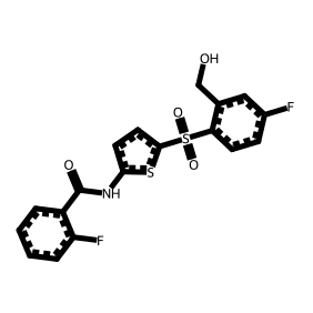 O=C(Nc1ccc(S(=O)(=O)c2ccc(F)cc2CO)s1)c1ccccc1F